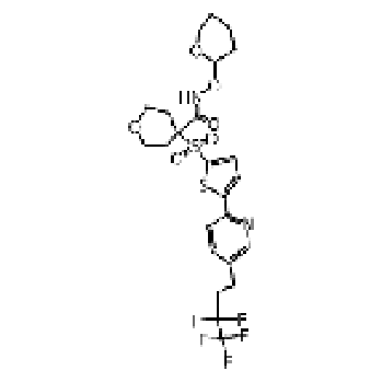 O=C(NOC1CCCCO1)C1(S(=O)(=O)c2ccc(-c3ccc(CCC(F)(F)C(F)(F)F)cn3)s2)CCOCC1